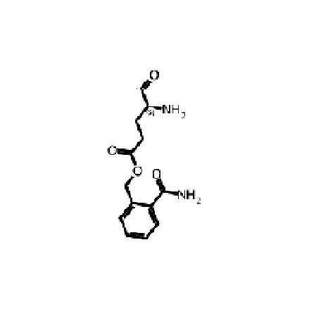 NC(=O)c1ccccc1COC(=O)CC[C@H](N)[C]=O